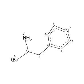 CC(C)(C)C(N)Cc1ccncc1